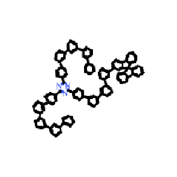 c1ccc(-c2cccc(-c3cccc(-c4cccc(-c5ccc(-c6nc(-c7ccc(-c8cccc(-c9cccc(-c%10cccc(-c%11ccccc%11)c%10)c9)c8)cc7)nc(-c7ccc(-c8cccc(-c9cccc(-c%10cccc(-c%11ccc%12c(c%11)C%11(c%13ccccc%13-c%13ccccc%13%11)c%11ccccc%11-%12)c%10)c9)c8)cc7)n6)cc5)c4)c3)c2)cc1